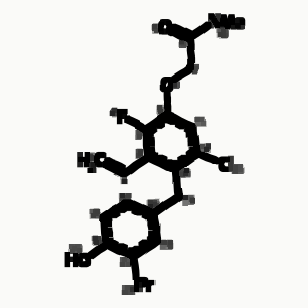 C=Cc1c(F)c(OCC(=O)NC)cc(Cl)c1Cc1ccc(O)c(C(C)C)c1